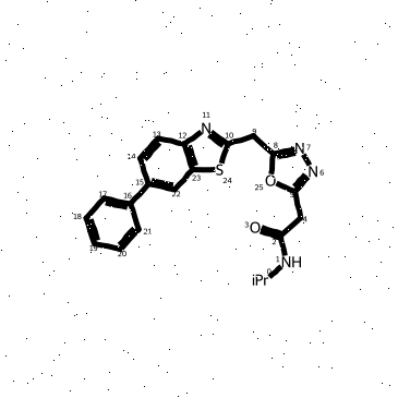 CC(C)NC(=O)Cc1nnc(Cc2nc3ccc(-c4ccccc4)cc3s2)o1